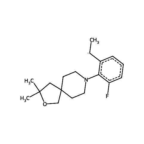 C[CH]c1cccc(F)c1N1CCC2(CC1)COC(C)(C)C2